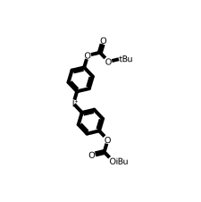 CC(C)COC(=O)Oc1ccc([I+]c2ccc(OC(=O)OC(C)(C)C)cc2)cc1